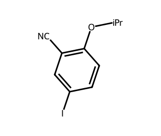 CC(C)Oc1ccc(I)cc1C#N